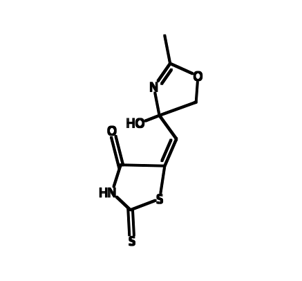 CC1=NC(O)(C=C2SC(=S)NC2=O)CO1